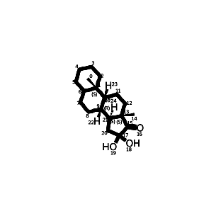 C[C@]12CCCCC1CC[C@@H]1[C@H]2CC[C@]2(C)C(=O)C(O)(O)C[C@@H]12